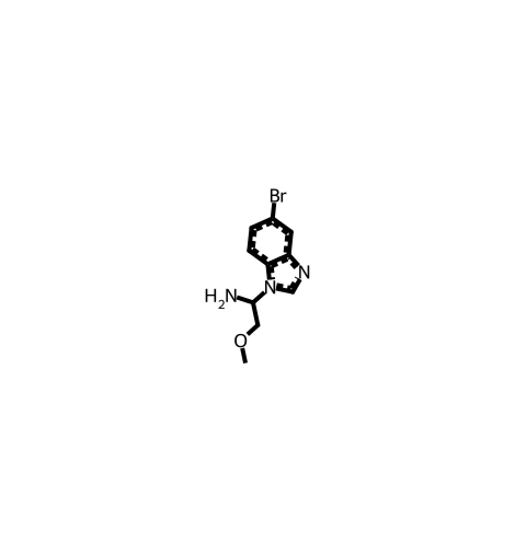 COCC(N)n1cnc2cc(Br)ccc21